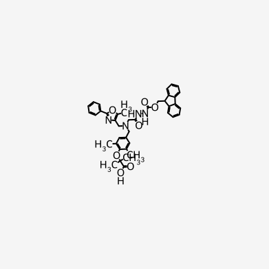 Cc1cc(CN(CC(=O)NNC(=O)OCC2c3ccccc3-c3ccccc32)Cc2nc(-c3ccccc3)oc2C)cc(C)c1OC(C)(C)C(=O)O